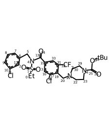 CCS(=O)(=O)N(Cc1cccc(Cl)c1)C(=O)c1cc(Cl)c(CN2CCN(C(=O)OC(C)(C)C)CC2)c(C(F)(F)F)c1